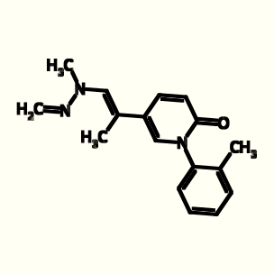 C=NN(C)/C=C(\C)c1ccc(=O)n(-c2ccccc2C)c1